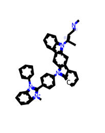 C/N=C/C=C(\C)n1c2ccccc2c2cc3c(cc21)c1ccccc1n3-c1ccc(-c2n(-c3ccccc3)c3ccccc3[n+]2C)cc1